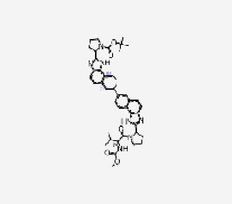 C/C=c1\c(=C/C(C)c2ccc3c(ccc4nc(C5CCCN5C(=O)[C@@H](NC(=O)OC)C(C)C)[nH]c43)c2)ccc2nc(C3CCCN3C(=O)OC(C)(C)C)[nH]c12